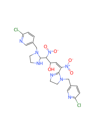 O=[N+]([O-])/C(=C/C(O)C(C1NCCN1Cc1ccc(Cl)nc1)[N+](=O)[O-])C1=NCCN1Cc1ccc(Cl)nc1